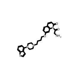 NCC(=O)n1c(=O)ccc2ccc(OCCCCN3CCN(c4cccc5sccc45)CC3)cc21